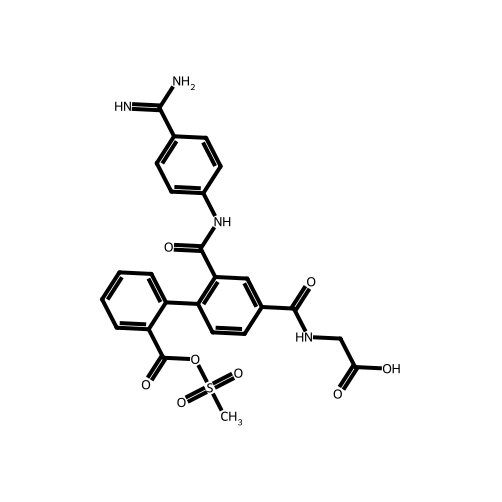 CS(=O)(=O)OC(=O)c1ccccc1-c1ccc(C(=O)NCC(=O)O)cc1C(=O)Nc1ccc(C(=N)N)cc1